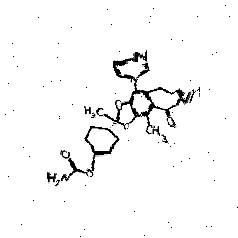 Cc1c2c(c(-n3ccnc3)c3c1C(=O)NCC3)OC(C)([C@H]1CC[C@H](OC(N)=O)CC1)O2